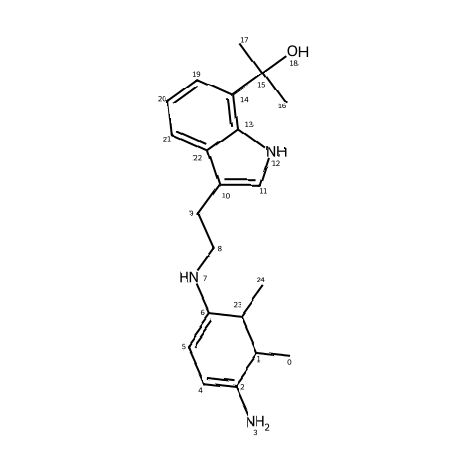 CC1C(N)=CC=C(NCCc2c[nH]c3c(C(C)(C)O)cccc23)C1C